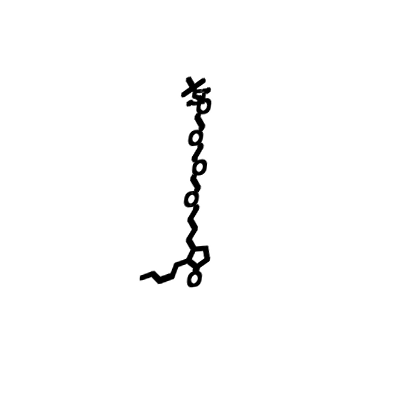 CC/C=C\CC1C(=O)CCC1CCCCOCCOCCOCCO[Si](C)(C)C(C)(C)C